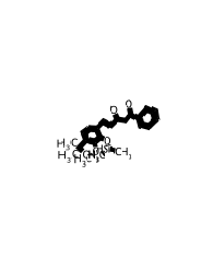 COc1c(C(C)(C)C)ccc(C=CC(=O)CC(=O)c2ccccc2)c1O[SiH](C)C